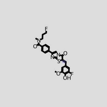 COc1cc(/C=c2\sc3nc(-c4ccc(C(=O)N(C)CCCF)cc4)cn3c2=O)cc(F)c1O